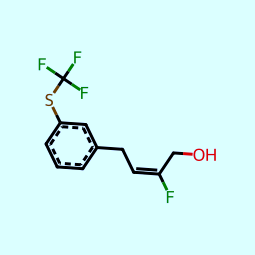 OC/C(F)=C\Cc1cccc(SC(F)(F)F)c1